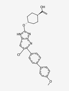 C=C(O)[C@H]1CC[C@H](Oc2nc3nc(-c4ccc(-c5ccc(OC)cc5)cc4)c(Cl)cc3[nH]2)CC1